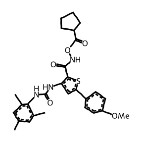 COc1ccc(-c2cc(NC(=O)Nc3c(C)cc(C)cc3C)c(C(=O)NOC(=O)C3CCCC3)s2)cc1